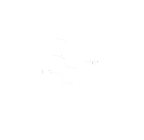 C=Cc1cc(N)c(N2CCCCC2)c(SNC)c1